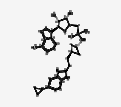 CC(C)(C[C@H]1O[C@@H](n2cnc3c(N)ncnc32)[C@H](O)[C@@H]1O)N[C@H]1C[C@H](CCc2nc3cc(C4CC4)ccc3[nH]2)C1